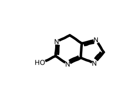 OC1=NCC2=NC=NC2=N1